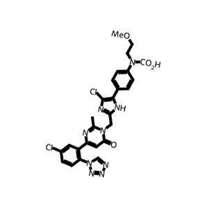 COCCN(C(=O)O)c1ccc(-c2[nH]c(Cn3c(C)nc(-c4cc(Cl)ccc4-n4cnnn4)cc3=O)nc2Cl)cc1